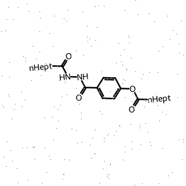 CCCCCCCC(=O)NNC(=O)c1ccc(OC(=O)CCCCCCC)cc1